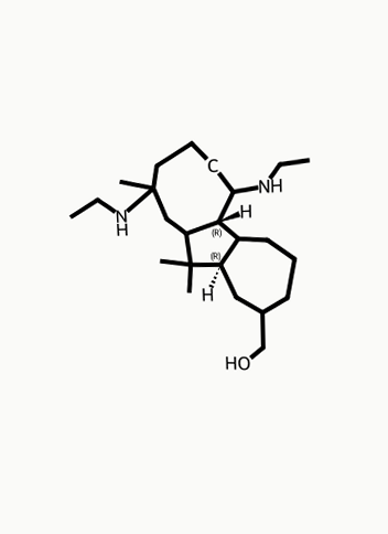 CCNC1CCCC(C)(NCC)CC2[C@H]1C1CCCC(CO)C[C@H]1C2(C)C